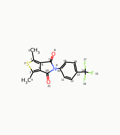 Cc1sc(C)c2c1C(=O)N(c1ccc(C(F)(F)F)cc1)C2=O